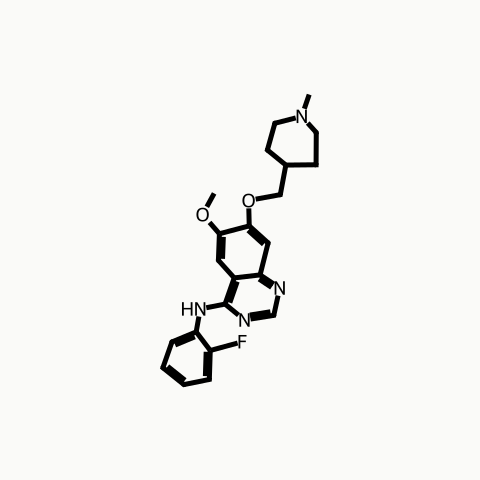 COc1cc2c(Nc3ccccc3F)ncnc2cc1OCC1CCN(C)CC1